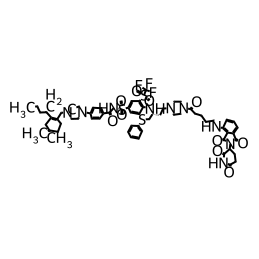 C=C(CCC)C1=C(CN2CCN(c3ccc(C(=O)NS(=O)(=O)c4ccc(N[C@H](CCN5CCN(C(=O)CCCCNc6cccc7c6C(=O)N(C6CCC(=O)NC6=O)C7=O)CC5)CSc5ccccc5)c(S(=O)(=O)C(F)(F)F)c4)cc3)CC2)CCC(C)(C)C1